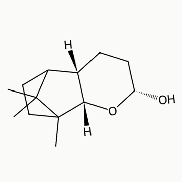 CC1(C)C2CCC1(C)[C@H]1O[C@@H](O)CC[C@@H]21